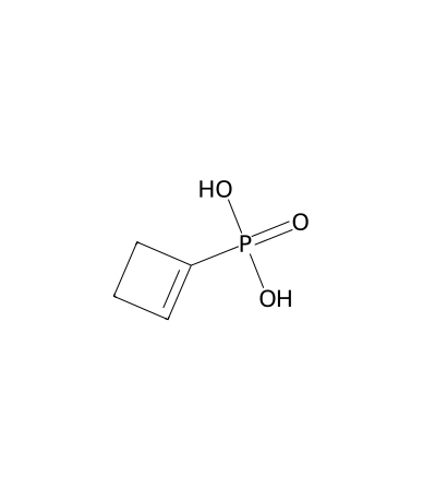 O=P(O)(O)C1=CCC1